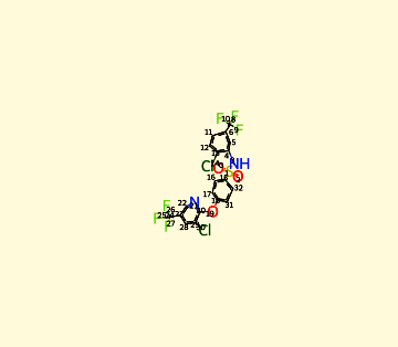 O=S(=O)(Nc1cc(C(F)(F)F)ccc1Cl)c1ccc(Oc2ncc(C(F)(F)F)cc2Cl)cc1